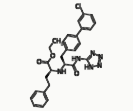 CCOC(=O)[C@H](CCc1ccccc1)N[C@@H](Cc1ccc(-c2cccc(Cl)c2)cc1)C(=O)Nc1nnn[nH]1